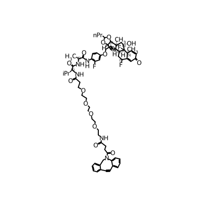 CCCC1O[C@@H]2C[C@H]3[C@@H]4C[C@H](F)C5=CC(=O)C=C[C@]5(C)[C@@]4(F)[C@@H](O)C[C@]3(C)[C@]2(C(=O)COc2ccc(NC(=O)[C@H](C)NC(=O)[C@@H](NC(=O)CCOCCOCCOCCOCCNC(=O)CCC(=O)N3Cc4ccccc4C#Cc4ccccc43)C(C)C)c(F)c2)O1